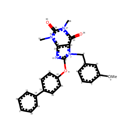 COc1cccc(Cn2c(Oc3ccc(-c4ccccc4)cc3)nc3c2c(=O)n(C)c(=O)n3C)c1